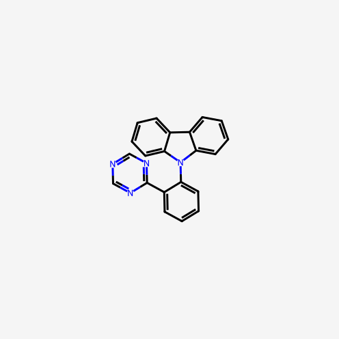 c1ccc(-n2c3ccccc3c3ccccc32)c(-c2ncncn2)c1